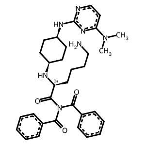 CN(C)c1ccnc(N[C@H]2CC[C@@H](N[C@@H](CCCCN)C(=O)N(C(=O)c3ccccc3)C(=O)c3ccccc3)CC2)n1